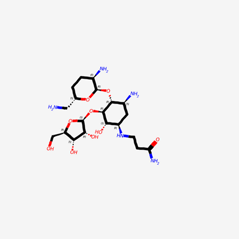 NC[C@@H]1CC[C@@H](N)[C@@H](O[C@H]2[C@H](O[C@@H]3O[C@H](CO)[C@@H](O)[C@H]3O)[C@@H](O)[C@H](NCCC(N)=O)C[C@@H]2N)O1